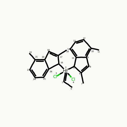 C[CH]=[Hf]([Cl])([Cl])([CH]1C(C)=Cc2c(C)cccc21)[CH]1C(C)=Cc2c(C)cccc21